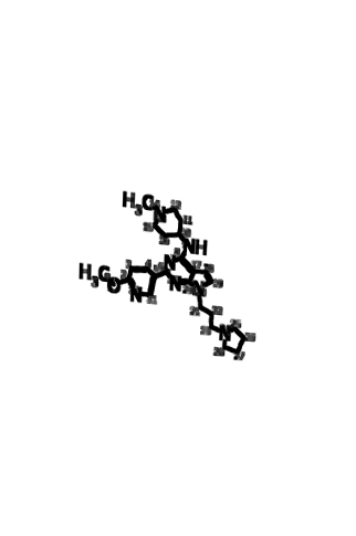 COc1ccc(-c2nc(NC3CCN(C)CC3)c3ccn(CCCN4CCCC4)c3n2)cn1